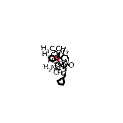 CC(C)(N)CN([C@H](COCc1ccccc1)C(=O)N1CCC2=NN(C(C)(C)C)C(=O)[C@]2(Cc2ccccc2)C1)S(C)(=O)=O